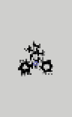 CN1CCN(C)C1=N/C(=N\c1ccccc1)NC1CCCCC1